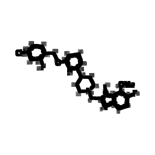 COc1c(F)ccc2nc(CN3CCC(c4cccc(OCc5ccc(Cl)cc5F)n4)CC3)n(C)c12